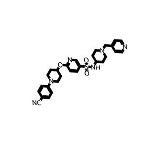 N#Cc1ccc(N2CCC(Oc3ccc(S(=O)(=O)NC4CCN(Cc5ccncc5)CC4)cn3)CC2)cc1